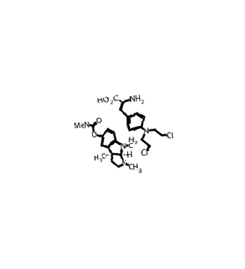 CNC(=O)Oc1ccc2c(c1)[C@]1(C)CCN(C)[C@@H]1N2C.N[C@@H](Cc1ccc(N(CCCl)CCCl)cc1)C(=O)O